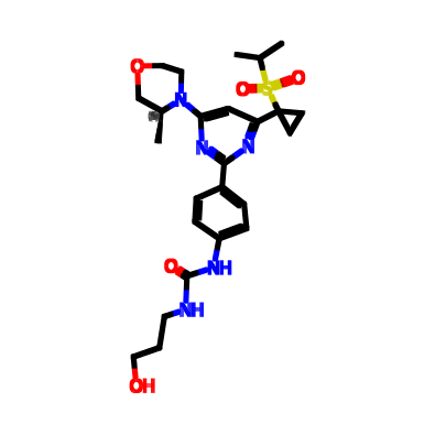 CC(C)S(=O)(=O)C1(c2cc(N3CCOC[C@@H]3C)nc(-c3ccc(NC(=O)NCCCO)cc3)n2)CC1